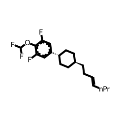 CCC/C=C/CC[C@H]1CC[C@H](c2cc(F)c(OC(F)F)c(F)c2)CC1